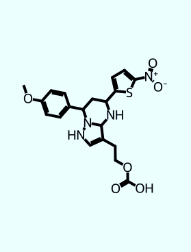 COc1ccc(C2CC(c3ccc([N+](=O)[O-])s3)NC3C(CCOC(=O)O)=CNN32)cc1